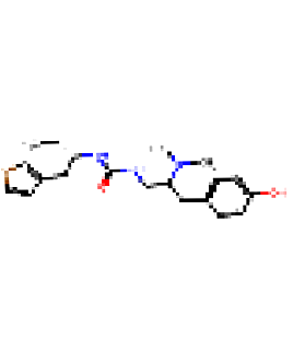 CC[C@@H](Cc1ccsc1)NC(=O)NCC(Cc1ccc(O)cc1)N(C)C